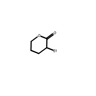 CC[C]1CCCOC1=O